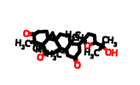 CC(C)(O)C1CC[C@](C)(C2CC(=O)C[C@@]3(C)C4CC(=O)[C@H]5C(C)(C)C(=O)CCC56CC46CCC23C)O1